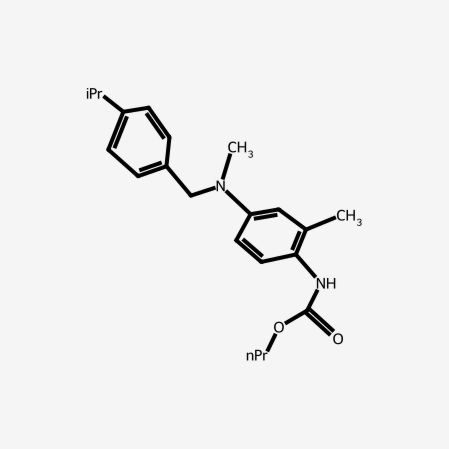 CCCOC(=O)Nc1ccc(N(C)Cc2ccc(C(C)C)cc2)cc1C